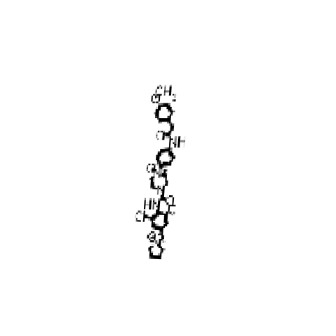 COc1ccc(CC(=O)Nc2ccc([N+]3([O-])CCN(C(=O)Nc4c(Cl)cc(C[N+]5([O-])CCCC5)cc4Cl)CC3)cc2)cc1